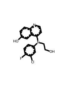 OCCN(c1ccc(F)c(Cl)c1)c1ccnc2ccc(O)cc12